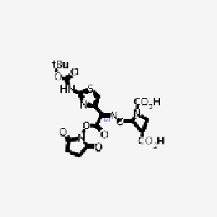 CC(C)(C)OC(=O)Nc1nc(/C(=N/OC2C(C(=O)O)CN2C(=O)O)C(=O)ON2C(=O)CCC2=O)cs1